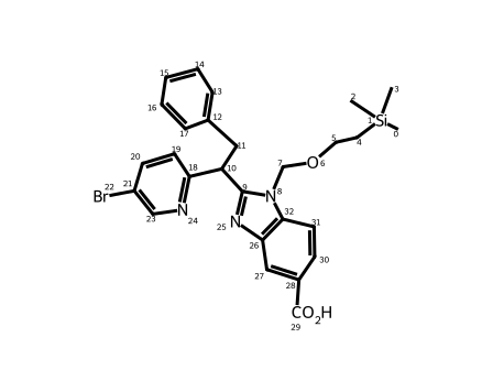 C[Si](C)(C)CCOCn1c(C(Cc2ccccc2)c2ccc(Br)cn2)nc2cc(C(=O)O)ccc21